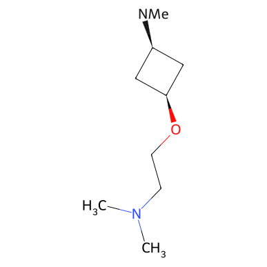 CN[C@H]1C[C@@H](OCCN(C)C)C1